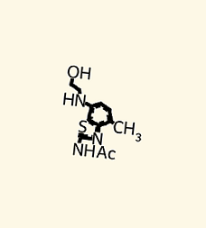 CC(=O)Nc1nc2c(C)ccc(NCCO)c2s1